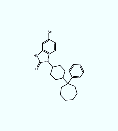 CC(=O)c1ccc2c(c1)[nH]c(=O)n2C1CCN(C2(c3ccccc3)CCCCCC2)CC1